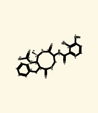 COc1ccnc(C(=O)NC2COC(=O)C(Cc3ccccc3)C(OC(=O)C(C)C)[C@H](C)OC2=O)c1O